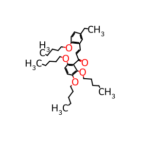 CCCCCOc1ccc(CC)cc1C=CC(=O)c1c(OCCCCC)ccc(OCCCCC)c1OCCCCC